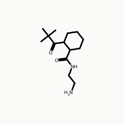 CC(C)(C)C(=O)C1CCCCC1C(=O)NCCN